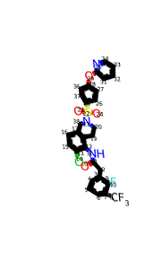 O=C(Cc1cccc(C(F)(F)F)c1F)Nc1c(Cl)ccc2c1CCN(S(=O)(=O)c1ccc(Oc3ccccn3)cc1)C2